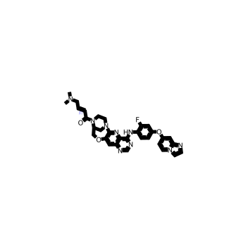 CN(C)C/C=C/C(=O)N1CCN2CC1COc1cc3ncnc(Nc4ccc(Oc5ccn6ccnc6c5)cc4F)c3nc12